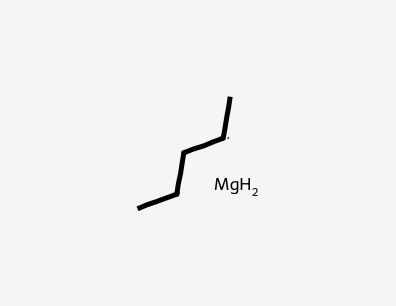 C[CH]CCC.[MgH2]